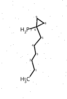 CCCCCCC1(P)CC1